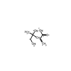 C=CC(=O)O.CC(C)(O)CO